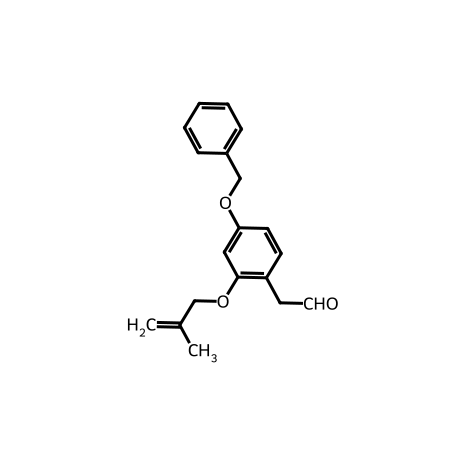 C=C(C)COc1cc(OCc2ccccc2)ccc1CC=O